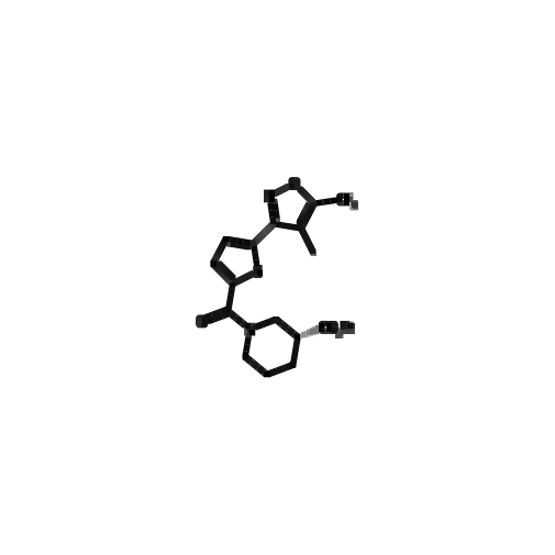 CCOC(=O)[C@@H]1CCCN(C(=O)c2ccc(-c3noc(C(F)(F)F)c3C)s2)C1